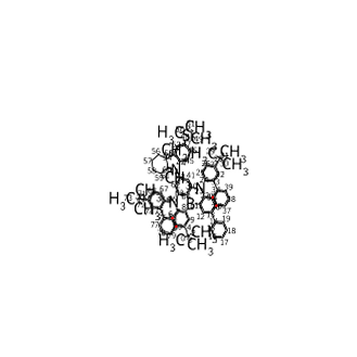 CC(C)(C)c1ccc2c(c1)B1c3cc(-c4ccccc4)ccc3N(c3ccc(C(C)(C)C)cc3-c3ccccc3)c3cc(N4c5ccc([Si](C)(C)C)cc5C5(C)CCCCC45C)cc(c31)N2c1ccc(C(C)(C)C)cc1-c1ccccc1